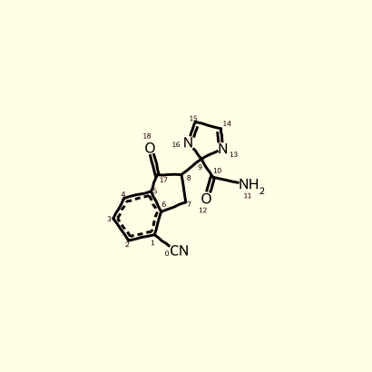 N#Cc1cccc2c1CC(C1(C(N)=O)N=CC=N1)C2=O